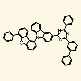 c1ccc(-c2cccc(-c3nc(-c4ccccc4)nc(-c4ccc5c(c4)c4ccccc4n5-c4cccc5oc6c(-c7ccccc7)cccc6c45)n3)c2)cc1